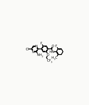 CC1=C(NC(=O)c2cc(F)c(-c3ncc(Cl)nc3N)cc2OCC(F)(F)F)C(F)=CCC1